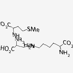 CC(C)CC(N)C(=O)O.CSCCC(N)C(=O)O.NCCCCC(N)C(=O)O